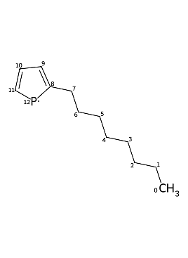 CCCCCCCCC1=CC=C[P]1